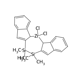 C[Si]1(C)C2=Cc3ccccc3[CH]2[Zr]([Cl])([Cl])[CH]2C(=Cc3ccccc32)[Si]1(C)C